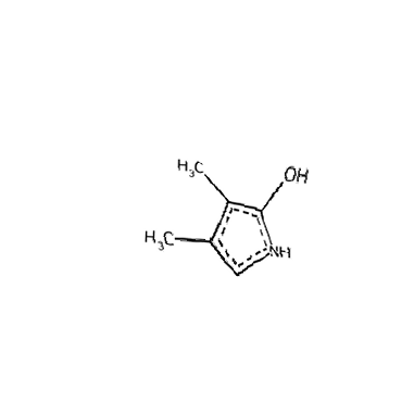 Cc1c[nH]c(O)c1C